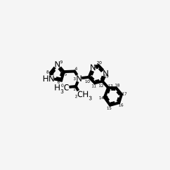 CC(C)N(Cc1c[nH]cn1)c1cc(-c2ccccc2)ncn1